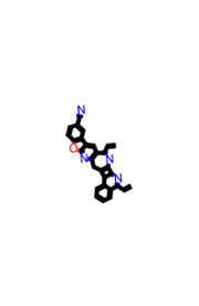 C=CC1=NC2C3=C(Cc4nc5oc6ccc(C#N)cc6c5cc4C(C=C)=N3)C2c2ccccc21